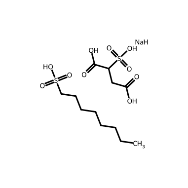 CCCCCCCCS(=O)(=O)O.O=C(O)CC(C(=O)O)S(=O)(=O)O.[NaH]